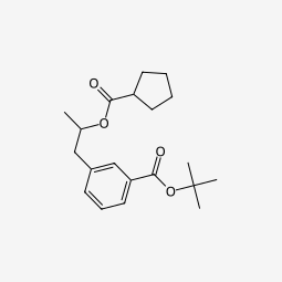 CC(Cc1cccc(C(=O)OC(C)(C)C)c1)OC(=O)C1CCCC1